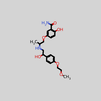 COCCOc1ccc(C(O)CNC(C)COc2ccc(O)c(C(N)=O)c2)cc1